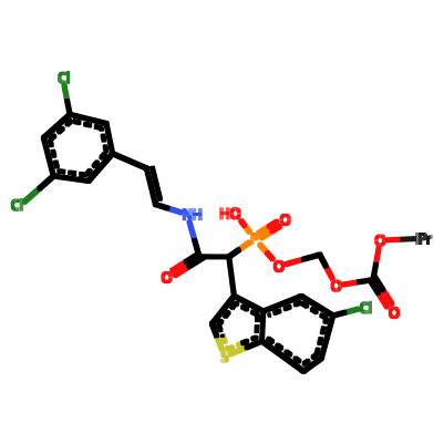 CC(C)OC(=O)OCOP(=O)(O)C(C(=O)NC=Cc1cc(Cl)cc(Cl)c1)c1csc2ccc(Cl)cc12